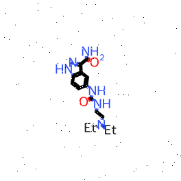 CCN(CC)CCNC(=O)Nc1ccc2[nH]nc(C(N)=O)c2c1